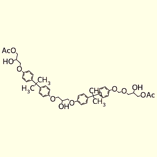 CC(=O)OCC(O)COCOc1ccc(C(C)(C)c2ccc(OCC(O)COc3ccc(C(C)(C)c4ccc(OCC(O)COC(C)=O)cc4)cc3)cc2)cc1